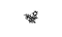 CNC(=O)Nc1cnn2c(NC)cc(N(C)c3ccccc3)nc12